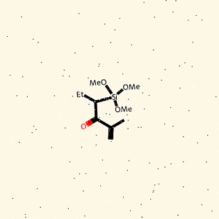 C=C(C)C(=O)C(CC)[Si](OC)(OC)OC